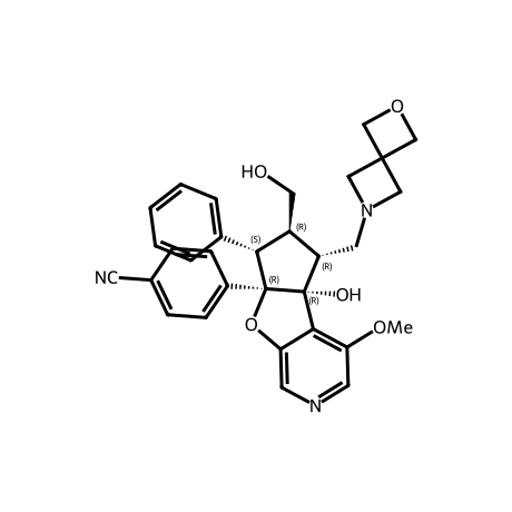 COc1cncc2c1[C@]1(O)[C@@H](CN3CC4(COC4)C3)[C@H](CO)[C@@H](c3ccccc3)[C@]1(c1ccc(C#N)cc1)O2